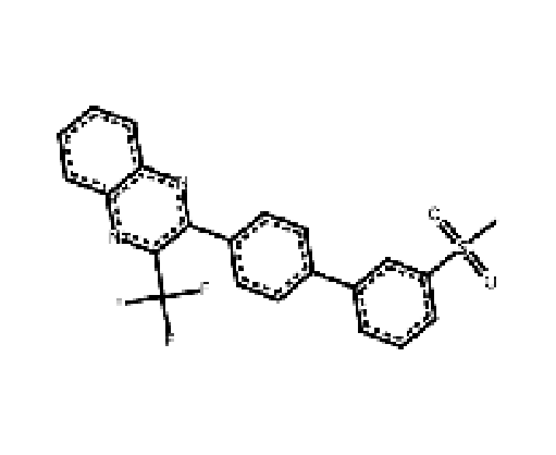 CS(=O)(=O)c1cccc(-c2ccc(-c3nc4ccccc4nc3C(F)(F)F)cc2)c1